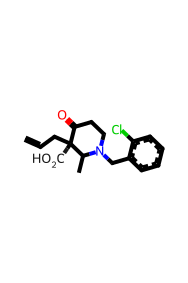 C=CCC1(C(=O)O)C(=O)CCN(Cc2ccccc2Cl)C1C